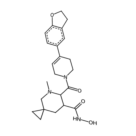 CN1CC2(CC2)CC(C(=O)NO)C1C(=O)N1CC=C(c2ccc3c(c2)CCO3)CC1